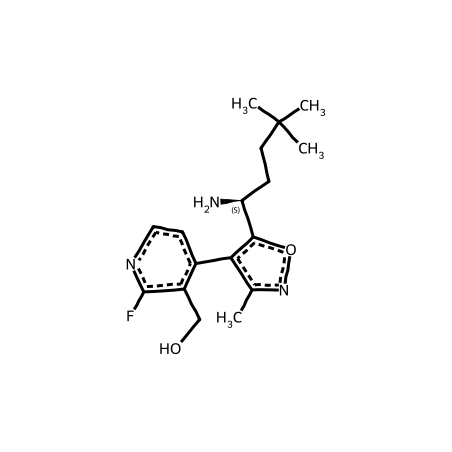 Cc1noc([C@@H](N)CCC(C)(C)C)c1-c1ccnc(F)c1CO